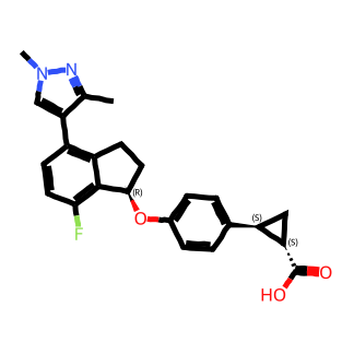 Cc1nn(C)cc1-c1ccc(F)c2c1CC[C@H]2Oc1ccc([C@H]2C[C@@H]2C(=O)O)cc1